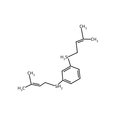 CC(C)=CC[SiH2]c1cccc([SiH2]CC=C(C)C)c1